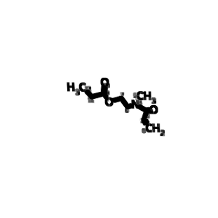 C=CC(=O)N(C)CCOC(=O)CC